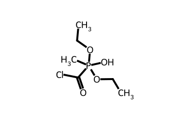 CCOP(C)(O)(OCC)C(=O)Cl